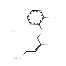 Cl.NC/C=C(/F)COc1ccccc1Cl